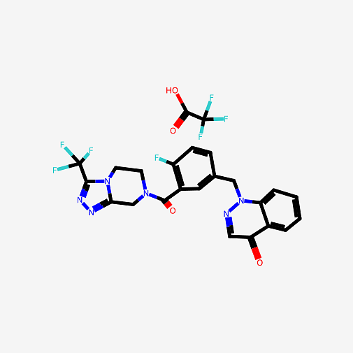 O=C(O)C(F)(F)F.O=C(c1cc(Cn2ncc(=O)c3ccccc32)ccc1F)N1CCn2c(nnc2C(F)(F)F)C1